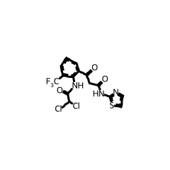 O=C(CC(=O)c1cccc(C(F)(F)F)c1NC(=O)C(Cl)Cl)Nc1nccs1